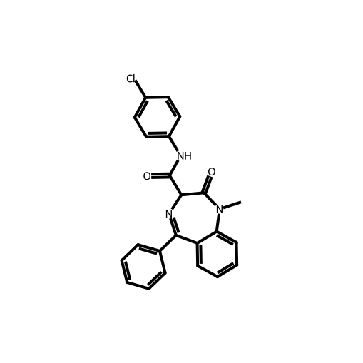 CN1C(=O)C(C(=O)Nc2ccc(Cl)cc2)N=C(c2ccccc2)c2ccccc21